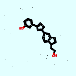 OCCC1C=Cc2cc(C3=CC(c4cccc(O)c4)=CC3)ccc21